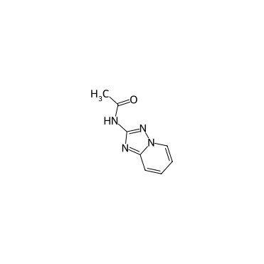 CC(=O)Nc1nc2ccccn2n1